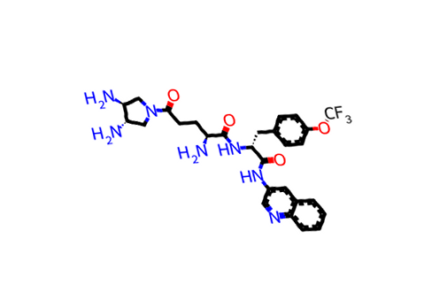 N[C@@H](CCC(=O)N1C[C@H](N)[C@@H](N)C1)C(=O)N[C@H](Cc1ccc(OC(F)(F)F)cc1)C(=O)Nc1cnc2ccccc2c1